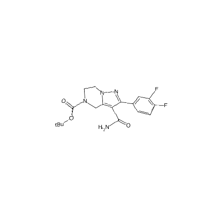 CC(C)(C)OC(=O)N1CCn2nc(-c3ccc(F)c(F)c3)c(C(N)=O)c2C1